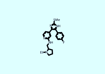 CCN1CCCC1CNc1cc(-c2nc(SC)[nH]c2-c2ccc(F)cc2)ccn1